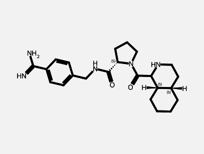 N=C(N)c1ccc(CNC(=O)[C@@H]2CCCN2C(=O)C2NCC[C@@H]3CCCC[C@H]23)cc1